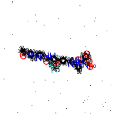 COC(=O)N[C@H](C(=O)N1C[C@@H](C)C[C@H]1c1nc(-c2ccc(-c3ccc(C(=O)Nc4ccc(N5CCN(C(=O)C(C)(C)C)C[C@H]5C)nc4)c(F)c3OC(F)(F)F)cc2)c[nH]1)C1CCOCC1